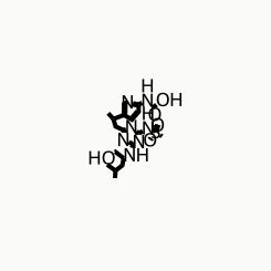 CC(C)CC(CO)Nc1nc(CC(C)c2ccc(NC(=O)O)nc2)nc(NS(C)(=O)=O)n1